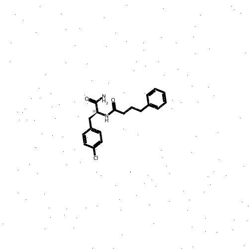 NC(=O)[C@H](Cc1ccc(Cl)cc1)NC(=O)[CH]CCc1ccccc1